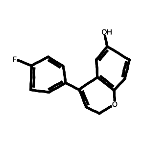 Oc1ccc2c(c1)C(c1ccc(F)cc1)=[C]CO2